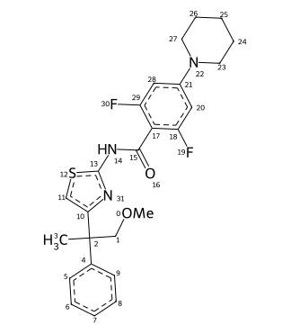 COCC(C)(c1ccccc1)c1csc(NC(=O)c2c(F)cc(N3CCCCC3)cc2F)n1